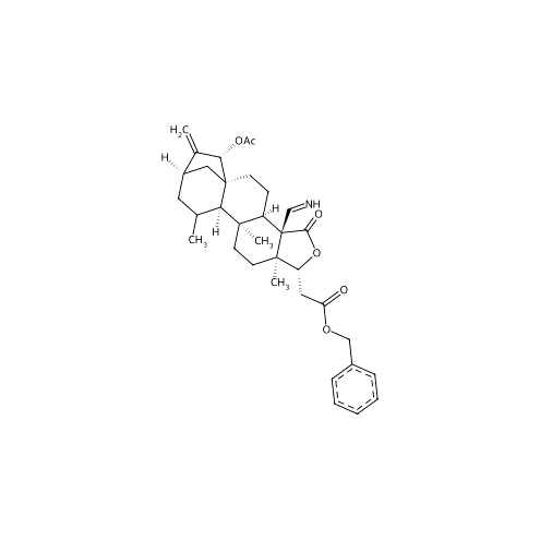 C=C1[C@@H]2CC(C)[C@@H]3[C@]4(C)CC[C@]5(C)[C@@H](CC(=O)OCc6ccccc6)OC(=O)[C@@]5(C=N)[C@@H]4CC[C@]3(C2)[C@H]1OC(C)=O